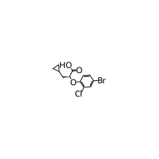 O=C(O)[C@H](CC1CC1)Oc1ccc(Br)cc1Cl